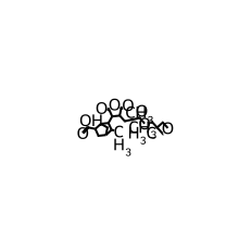 CC1C2CC(C(=O)O)C(C2)C1C1C(=O)OC(=O)C1CC(C)(C)C(=O)OCC1(C)COC1